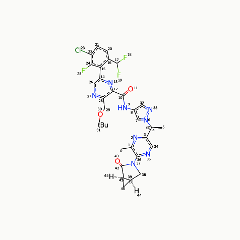 Cc1nc([C@H](C)n2cc(NC(=O)c3nc(-c4c(C(F)F)ccc(Cl)c4F)cnc3COC(C)(C)C)cn2)cnc1N1C[C@H]2C[C@H]2C1=O